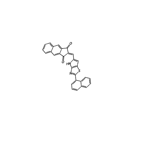 O=C1C(=Cc2cc3sc(-c4cccc5ccccc45)nc3[nH]2)C(=O)c2cc3ccccc3cc21